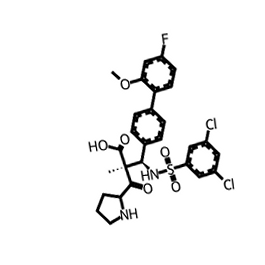 COc1cc(F)ccc1-c1ccc([C@@H](NS(=O)(=O)c2cc(Cl)cc(Cl)c2)[C@](C)(C(=O)O)C(=O)C2CCCN2)cc1